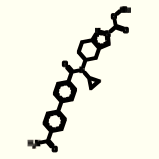 CC(C)(C)OC(=O)n1cc2c(n1)CCC(N(C(=O)c1ccc(-c3ccc(C(N)=O)cc3)cc1)C1CC1)C2